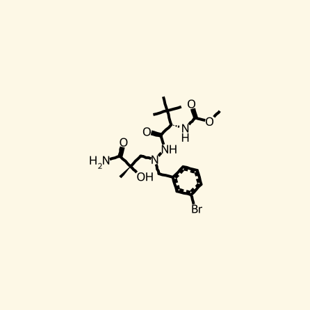 COC(=O)N[C@H](C(=O)NN(Cc1cccc(Br)c1)C[C@](C)(O)C(N)=O)C(C)(C)C